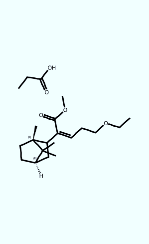 CCC(=O)O.CCOCCC=C(C(=O)OC)C1C[C@H]2CC[C@@]1(C)C2(C)C